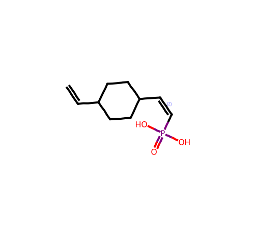 C=CC1CCC(/C=C\P(=O)(O)O)CC1